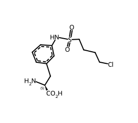 N[C@@H](Cc1cccc(NS(=O)(=O)CCCCCl)c1)C(=O)O